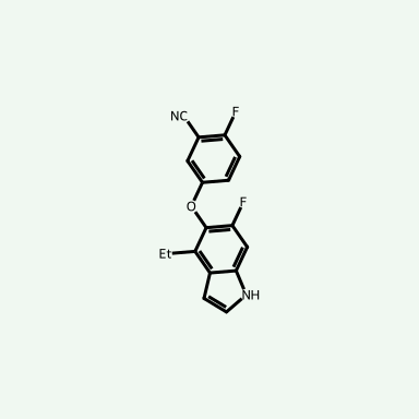 CCc1c(Oc2ccc(F)c(C#N)c2)c(F)cc2[nH]ccc12